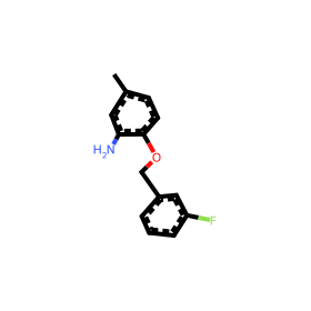 Cc1ccc(OCc2cccc(F)c2)c(N)c1